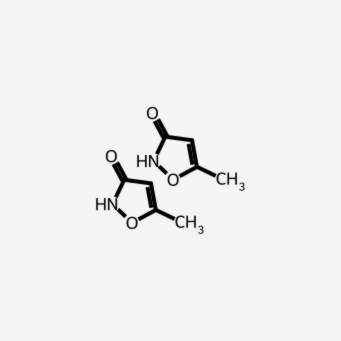 Cc1cc(=O)[nH]o1.Cc1cc(=O)[nH]o1